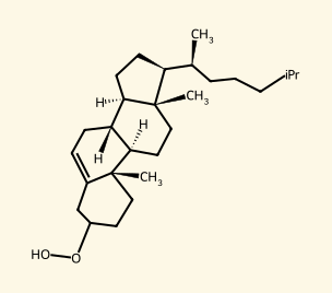 CC(C)CCC[C@H](C)[C@@H]1CC[C@@H]2[C@H]3CC=C4CC(OO)CC[C@@]4(C)[C@@H]3CC[C@]21C